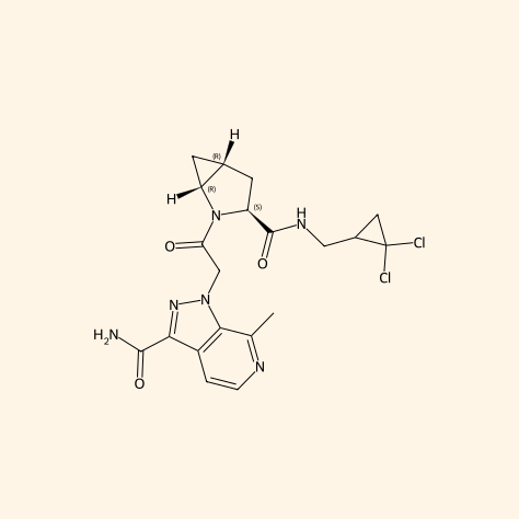 Cc1nccc2c(C(N)=O)nn(CC(=O)N3[C@@H]4C[C@@H]4C[C@H]3C(=O)NCC3CC3(Cl)Cl)c12